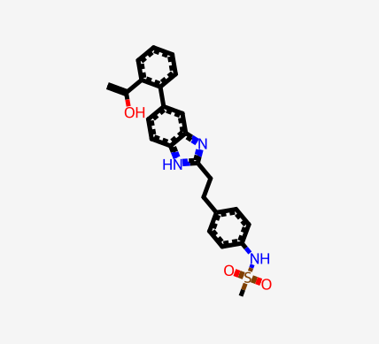 C=C(O)c1ccccc1-c1ccc2[nH]c(CCc3ccc(NS(C)(=O)=O)cc3)nc2c1